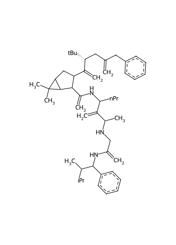 C=C(Cc1ccccc1)C[C@H](C(=C)C1CC2C(C1C(=C)NC(CCC)C(=C)C(C)NCC(=C)NC(c1ccccc1)C(C)C(C)C)C2(C)C)C(C)(C)C